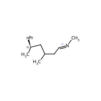 CCC[C@H](C)CC(C)C/C=N/C